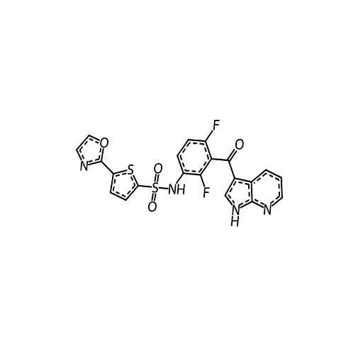 O=C(c1c(F)ccc(NS(=O)(=O)c2ccc(-c3ncco3)s2)c1F)c1c[nH]c2ncccc12